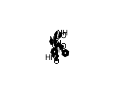 O=C1CN(c2nccn3c(-c4ccc5c(c4)CC(=O)N5)c(C(=O)Nc4ccccc4)nc23)CCN1